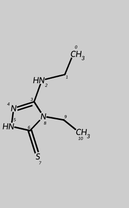 CCNc1n[nH]c(=S)n1CC